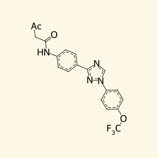 CC(=O)CC(=O)Nc1ccc(-c2ncn(-c3ccc(OC(F)(F)F)cc3)n2)cc1